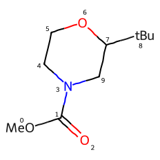 COC(=O)N1CCOC(C(C)(C)C)C1